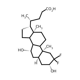 C[C@H](CCC(=O)O)[C@H]1CCC2C3C(CC[C@@]21C)[C@@]1(C)CC(F)(F)[C@H](O)C[C@H]1C[C@@H]3O